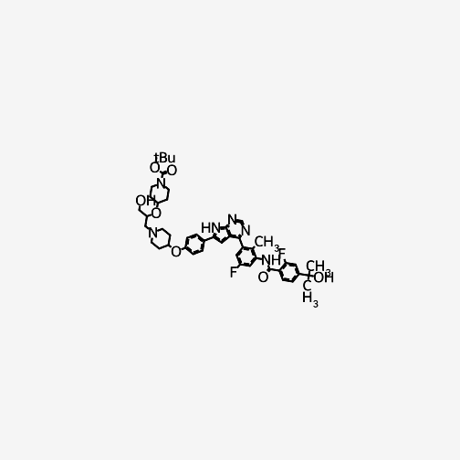 Cc1c(NC(=O)c2ccc(C(C)(C)O)cc2F)cc(F)cc1-c1ncnc2[nH]c(-c3ccc(OC4CCN(CC(CO)OC5CCN(C(=O)OC(C)(C)C)CC5)CC4)cc3)cc12